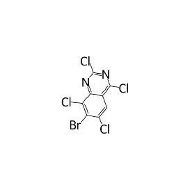 Clc1nc(Cl)c2cc(Cl)c(Br)c(Cl)c2n1